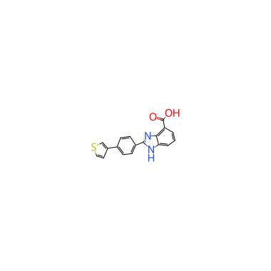 O=C(O)c1cccc2[nH]c(-c3ccc(-c4ccsc4)cc3)nc12